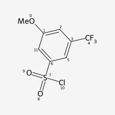 COc1cc(C(F)(F)F)cc(S(=O)(=O)Cl)c1